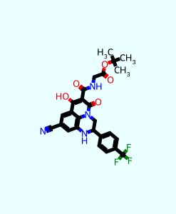 CC(C)(C)OC(=O)CNC(=O)c1c(O)c2cc(C#N)cc3c2n(c1=O)CC(c1ccc(C(F)(F)F)cc1)N3